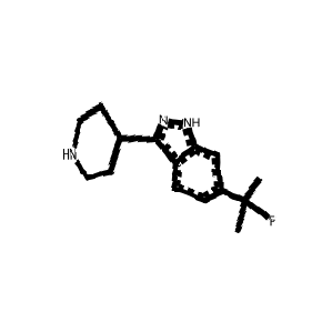 CC(C)(F)c1ccc2c(C3CCNCC3)n[nH]c2c1